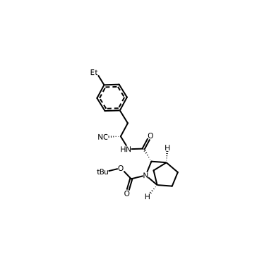 CCc1ccc(C[C@@H](C#N)NC(=O)[C@@H]2[C@H]3CC[C@H](C3)N2C(=O)OC(C)(C)C)cc1